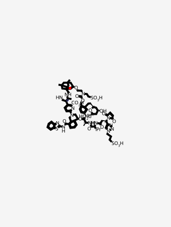 C/C(NCC12CC3(C)CC(C)(C1)CC(OCCN(CCS(=O)(=O)O)C(=O)OCc1ccc(NC(=O)[C@H](C)NC(=O)C(NC(=O)C[C@H](c4cn(CCCS(=O)(=O)O)nn4)N4C(=O)C=CC4=O)C(C)C)cc1CC[C@H]1C[C@@H](O)C[C@@H](C(=O)O)O1)(C3)C2)=C(/C=N)c1ccc(N2CCc3cccc(C(=O)Nc4nc5ccccc5s4)c3C2)nc1C(=O)O